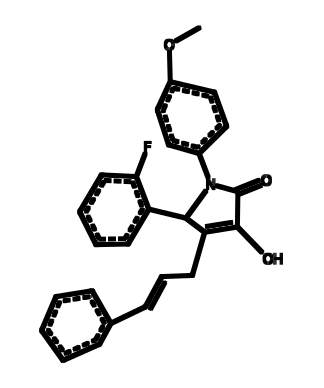 COc1ccc(N2C(=O)C(O)=C(C/C=C/c3ccccc3)C2c2ccccc2F)cc1